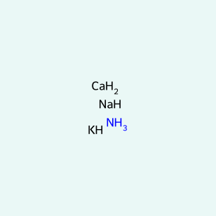 N.[CaH2].[KH].[NaH]